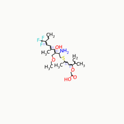 C=C\C(=C/C=C(C)/C(O)=C(\COCC)C(N)CS/C(C)=C/C=C(/OCC(=O)O)C(=C)C)C(F)(F)F